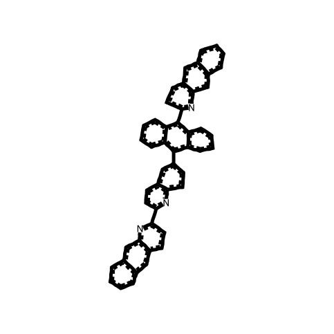 c1ccc2cc3nc(-c4ccc5cc(-c6c7ccccc7c(-c7ccc8cc9ccccc9cc8n7)c7ccccc67)ccc5n4)ccc3cc2c1